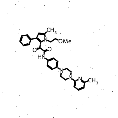 COCCn1c(C)cc(-c2ccccc2)c1C(=O)C(=O)Nc1ccc(N2CCN(c3cccc(C)n3)CC2)cc1